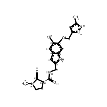 Cc1cc(COc2cc3[nH]c(CNC(=O)[C@@H]4CCN(C)C4=O)cc3cc2Cl)on1